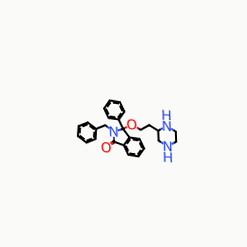 O=C1c2ccccc2C(OCCC2CNCCN2)(c2ccccc2)N1Cc1ccccc1